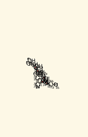 COc1ccc(CN(Cc2ccc(OC)cc2)S(=O)(=O)c2c(S(=O)(=O)NCC(O)CNC(=O)O)ccc(-c3ccncc3N)c2-c2nnn(Cc3ccc(OC)cc3)n2)cc1